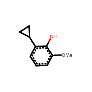 COc1cccc(C2CC2)c1O